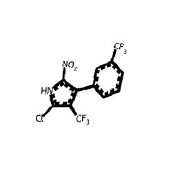 O=[N+]([O-])c1[nH]c(Cl)c(C(F)(F)F)c1-c1cccc(C(F)(F)F)c1